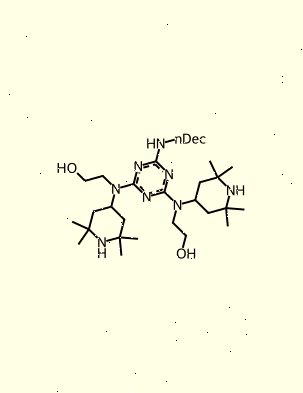 CCCCCCCCCCNc1nc(N(CCO)C2CC(C)(C)NC(C)(C)C2)nc(N(CCO)C2CC(C)(C)NC(C)(C)C2)n1